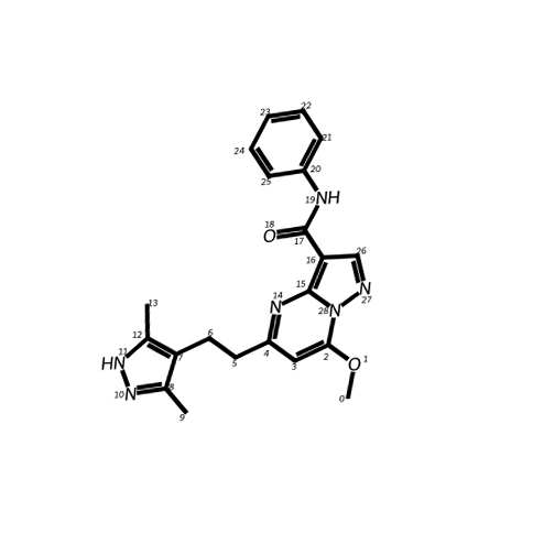 COc1cc(CCc2c(C)n[nH]c2C)nc2c(C(=O)Nc3ccccc3)cnn12